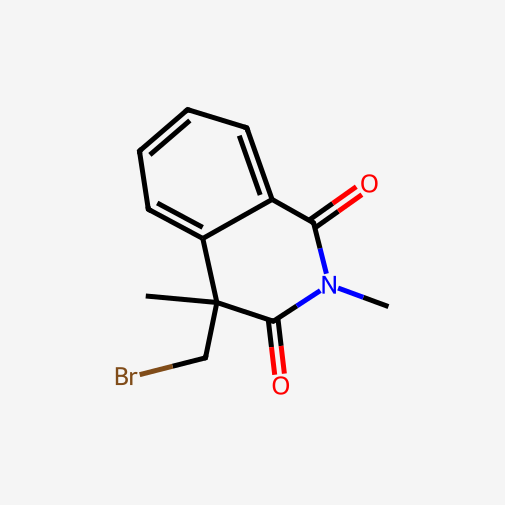 CN1C(=O)c2ccccc2C(C)(CBr)C1=O